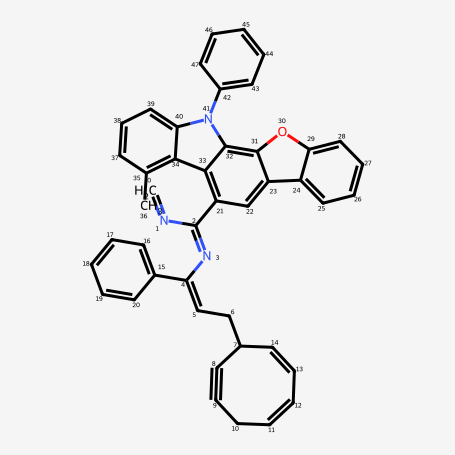 C=N/C(=N\C(=C/CC1C#CC/C=C\C=C/1)c1ccccc1)c1cc2c3ccccc3oc2c2c1c1c(C)cccc1n2-c1ccccc1